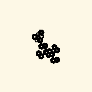 CC12CCCCC1(C)N(c1ccccc1)c1ccc(-c3cccc4c(-c5cc(-c6cccc7ccccc67)c6ccc7c(-c8cccc9ccccc89)cc(-c8cccc9ccccc89)c8ccc5c6c78)cccc34)cc12